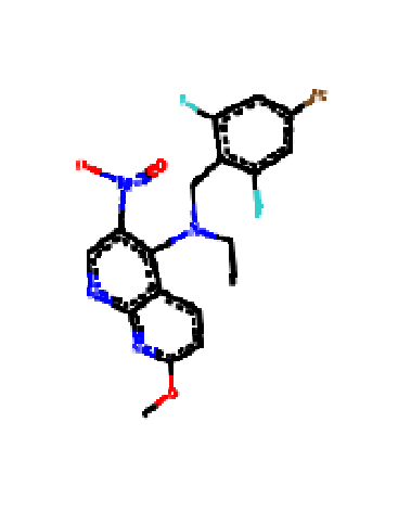 CCN(Cc1c(F)cc(Br)cc1F)c1c([N+](=O)[O-])cnc2nc(OC)ccc12